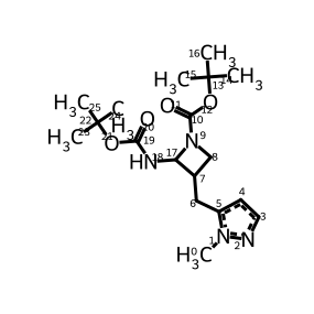 Cn1nccc1CC1CN(C(=O)OC(C)(C)C)C1NC(=O)OC(C)(C)C